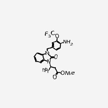 CCCC(CC(=O)OC)n1c(=O)n(Cc2ccc(N)c(OC(F)(F)F)c2)c2ccccc21